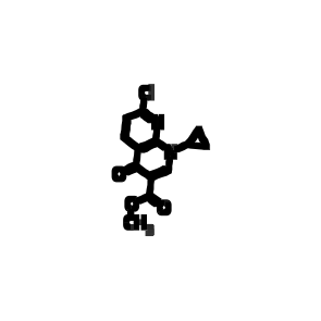 COC(=O)c1cn(C2CC2)c2nc(Cl)ccc2c1=O